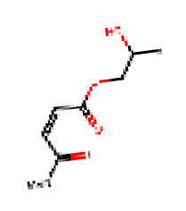 CNC(=O)/C=C\C(=O)OCC(C)O